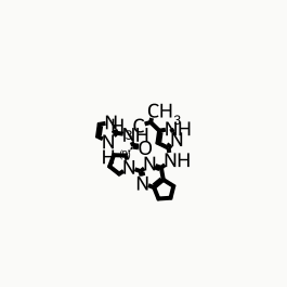 CC(C)c1cc(Nc2nc(N3CCC[C@@H]3C(=O)Nc3ncc[nH]3)nc3c2CCC3)n[nH]1